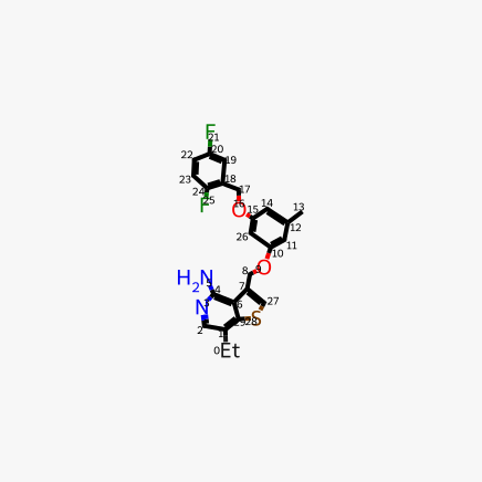 CCc1cnc(N)c2c(COc3cc(C)cc(OCc4cc(F)ccc4F)c3)csc12